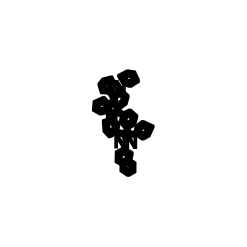 c1ccc(-c2nc(-c3ccc4ccccc4c3)nc(-c3ccccc3)c2-c2cccc(-c3nc4ccccc4c4c3ccc3c4c4ccccc4n3-c3ccccc3)c2)cc1